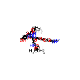 CC(C)(C)OC(=O)CC(NC(=O)C(CCCCNC(=O)OC(C)(C)C)NC(=O)CCOCCOCCOCCN=[N+]=[N-])C(=O)Nc1ccc(CO)cc1